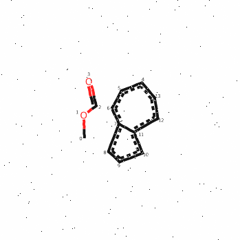 COC=O.c1ccc2cccc-2cc1